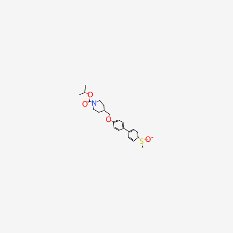 CC(C)OC(=O)N1CCC(COc2ccc(-c3ccc([S+](C)[O-])cc3)cc2)CC1